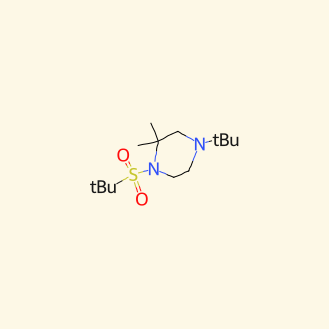 CC(C)(C)N1CCN(S(=O)(=O)C(C)(C)C)C(C)(C)C1